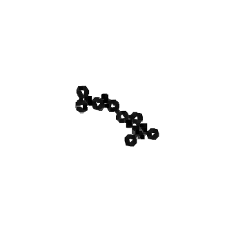 c1ccc(-c2nc(-c3ccccc3)nc(-c3cccc4c3sc3ccc(-c5ccc6sc7cc(-n8c9ccccc9c9ccccc98)ccc7c6c5)cc34)n2)cc1